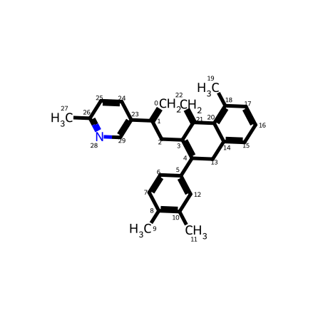 C=C(CC1=C(c2ccc(C)c(C)c2)Cc2cccc(C)c2C1=C)c1ccc(C)nc1